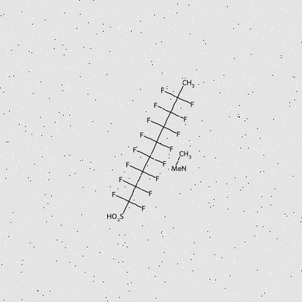 CC(F)(F)C(F)(F)C(F)(F)C(F)(F)C(F)(F)C(F)(F)C(F)(F)C(F)(F)S(=O)(=O)O.CNC